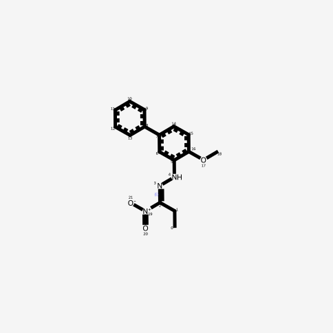 CC/C(=N\Nc1cc(-c2ccccc2)ccc1OC)[N+](=O)[O-]